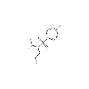 CCCC(C(C)C)S(=O)(=O)c1ccc(C)cc1